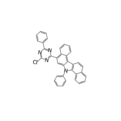 Clc1nc(-c2ccccc2)nc(-c2cc3c(c4ccccc24)c2ccc4ccccc4c2n3-c2ccccc2)n1